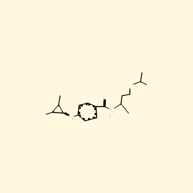 CC(CCOC(C)C)NC(=O)c1ccc(N=C2C(C)C2C)cc1